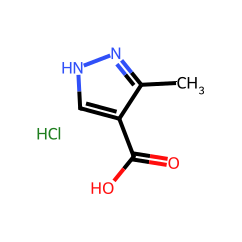 Cc1n[nH]cc1C(=O)O.Cl